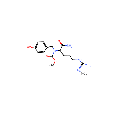 CC(C)(C)OC(=O)N(Cc1ccc(O)cc1)[C@H](CCCNC(N)=N[N+](=O)[O-])C(N)=O